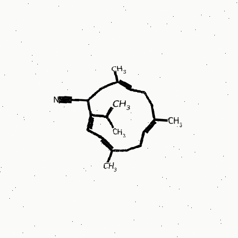 C/C1=C\C=C(/C(C)C)C(C#N)C/C(C)=C/CC/C(C)=C/CC1